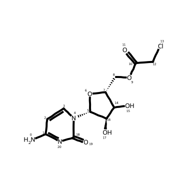 Nc1ccn([C@@H]2O[C@H](COC(=O)CCl)C(O)[C@H]2O)c(=O)n1